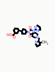 Cc1cccnc1CN1CCC2(CC1)C(=O)N(c1ccc(-c3cccc(C(=O)O)c3)cc1)C(=O)N2c1ncccn1